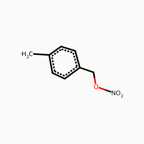 [CH2]c1ccc(CO[N+](=O)[O-])cc1